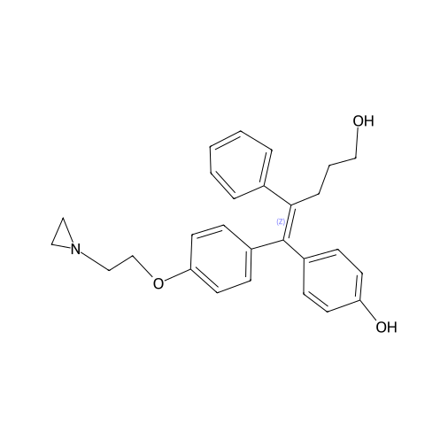 OCCC/C(=C(\c1ccc(O)cc1)c1ccc(OCCN2CC2)cc1)c1ccccc1